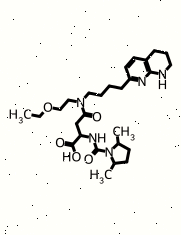 CCOCCN(CCCCc1ccc2c(n1)NCCC2)C(=O)CC(NC(=O)N1C(C)CCC1C)C(=O)O